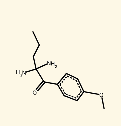 CCCC(N)(N)C(=O)c1ccc(OC)cc1